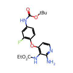 CCOC(=O)Nc1c(Oc2ccc(NC(=O)OC(C)(C)C)cc2F)ccnc1N